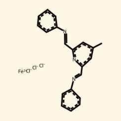 Cc1cc(C=Nc2ccccc2)nc(C=Nc2ccccc2)c1.[Cl-].[Cl-].[Cl-].[Fe+3]